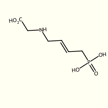 O=C(O)CNC/C=C/CP(=O)(O)O